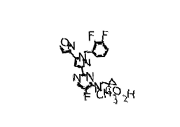 CN(CC1(C(=O)O)CC1)c1nc(-c2cc(-c3ccon3)n(Cc3cccc(F)c3F)n2)ncc1F